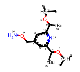 C[SiH](C)OC(c1cc(CON)cc(C(O[SiH](C)C)C(C)(C)C)n1)C(C)(C)C